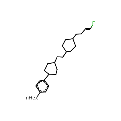 CCCCCCc1ccc(C2CCC(CCC3CCC(CCC=CF)CC3)CC2)cc1